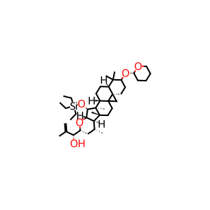 C=C(C)[C@@H](O)[C@H]1C[C@@H](C)[C@H]2[C@H](O1)[C@H](O[Si](CC)(CC)CC)[C@@]1(C)[C@@H]3CC[C@H]4C(C)(C)C(O[C@H]5CCCCO5)CC[C@@]45CC35CC[C@]21C